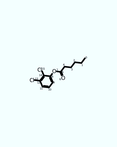 CCCCCC(=O)Oc1cccc(Cl)c1Cl